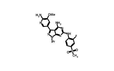 COc1cc(-c2nn(C(C)C)c3nc(Nc4ccc(S(C)(=O)=O)cc4F)nc(N)c23)cnc1N